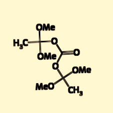 COC(C)(OC)OC(=O)OC(C)(OC)OC